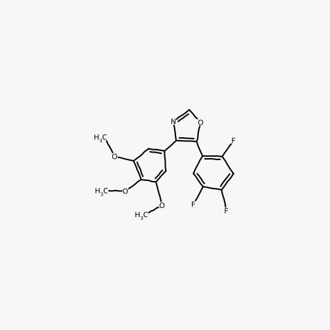 COc1cc(-c2ncoc2-c2cc(F)c(F)cc2F)cc(OC)c1OC